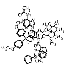 COc1ccc(C(OC[C@H]2O[C@@H](n3cnc4c(NC(C)=O)ncnc43)C(OCO[Si](C(C)C)(C(C)C)C(C)C)[C@H]2O[P@]2O[C@@H](C[Si](C)(c3ccccc3)c3ccccc3)[C@H]3CCCN32)(c2ccccc2)c2ccc(OC)cc2)cc1